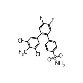 NS(=O)(=O)c1ccc(-c2cc(F)c(F)cc2-c2cc(Cl)c(C(F)(F)F)c(Cl)c2)cc1